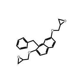 c1ccc(Cc2c(OCC3CO3)ccc3ccc(OCC4CO4)cc23)cc1